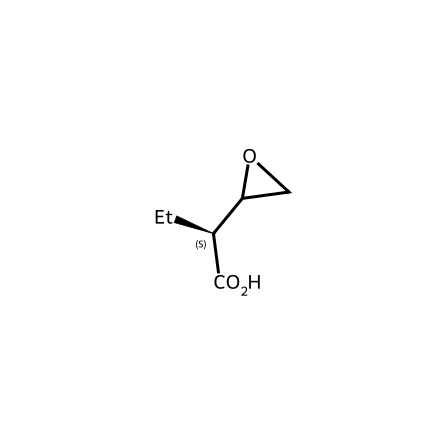 CC[C@H](C(=O)O)C1CO1